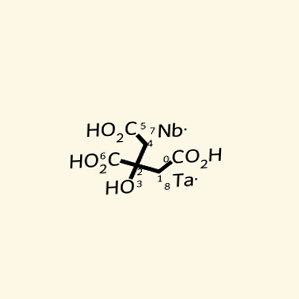 O=C(O)CC(O)(CC(=O)O)C(=O)O.[Nb].[Ta]